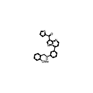 COc1ccccc1CNc1cccc(-c2ccnc3c(C(=O)c4cccs4)cnn23)c1